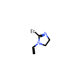 C=CN1CCN=C1CC